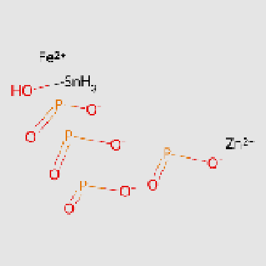 O=P[O-].O=P[O-].O=P[O-].O=P[O-].[Fe+2].[OH][SnH3].[Zn+2]